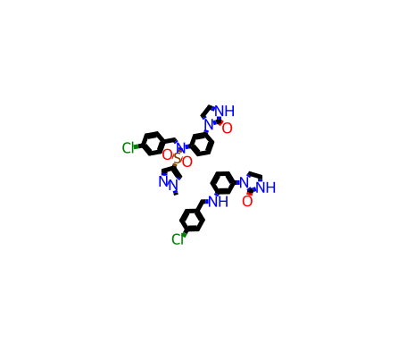 Cn1cc(S(=O)(=O)N(Cc2ccc(Cl)cc2)c2cccc(N3CCNC3=O)c2)cn1.O=C1NCCN1c1cccc(NCc2ccc(Cl)cc2)c1